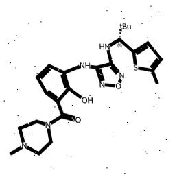 Cc1ccc([C@H](Nc2nonc2Nc2cccc(C(=O)N3CCN(C)CC3)c2O)C(C)(C)C)s1